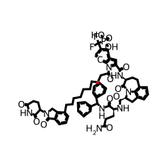 NC(=O)CC[C@H](NC(=O)[C@@H]1Cc2cccc3c2N1C(=O)[C@@H](NC(=O)c1cc2cc(C(F)(F)P(=O)(O)O)ccc2n1C(=O)CCCCCCCCCc1cccc2c1CN(C1CCC(=O)NC1=O)C2=O)CC3)C(=O)NC(c1ccccc1)c1ccccc1